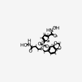 O=C(CCN(Cc1ccc2c(c1)OCO2)S(=O)(=O)c1ccc(C(=O)NO)s1)NO